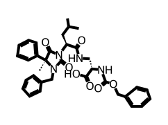 CC(C)C[C@@H](C(=O)NC[C@H](NC(=O)OCc1ccccc1)C(=O)O)N1C(=O)N(Cc2ccccc2)[C@@](C)(c2ccccc2)C1=O